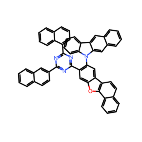 c1ccc2cc(-c3nc(-c4cc5oc6c7ccccc7ccc6c5cc4-n4c5ccccc5c5cc6ccccc6cc54)nc(-c4cccc5ccccc45)n3)ccc2c1